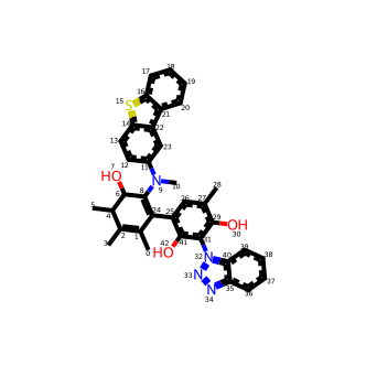 CC1=C(C)C(C)C(O)C(N(C)c2ccc3sc4ccccc4c3c2)=C1c1cc(C)c(O)c(-n2nnc3ccccc32)c1O